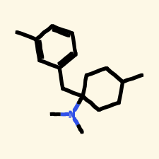 Cc1cccc(CC2(N(C)C)CCC(C)CC2)c1